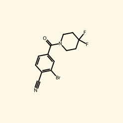 N#Cc1ccc(C(=O)N2CCC(F)(F)CC2)cc1Br